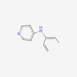 C=C/C(=C\C)Nc1ccncc1